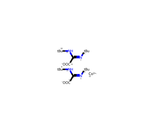 CC(C)(C)N=C(NC(C)(C)C)C(=O)[O-].CC(C)(C)N=C(NC(C)(C)C)C(=O)[O-].[Co+2]